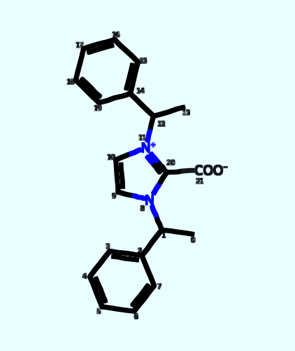 CC(c1ccccc1)n1cc[n+](C(C)c2ccccc2)c1C(=O)[O-]